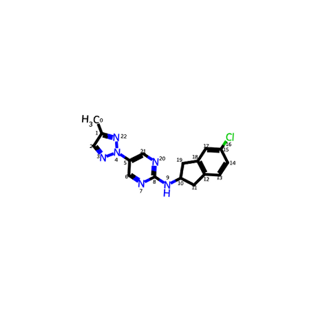 Cc1cnn(-c2cnc(NC3Cc4ccc(Cl)cc4C3)nc2)n1